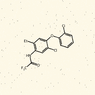 CCc1cc(Oc2ccccc2Cl)c(Cl)cc1NC(=O)C(F)(F)F